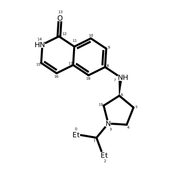 CCC(CC)N1CC[C@H](Nc2ccc3c(=O)[nH]ccc3c2)C1